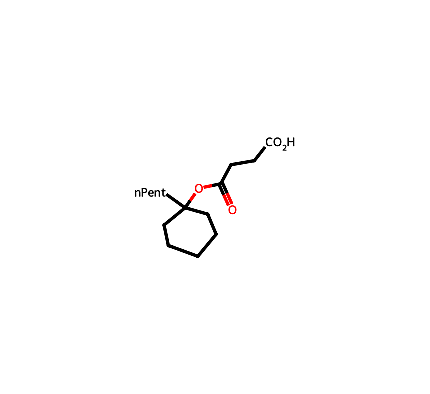 CCCCCC1(OC(=O)CCC(=O)O)CCCCC1